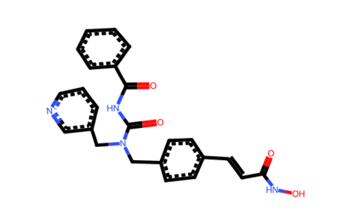 O=C(C=Cc1ccc(CN(Cc2cccnc2)C(=O)NC(=O)c2ccccc2)cc1)NO